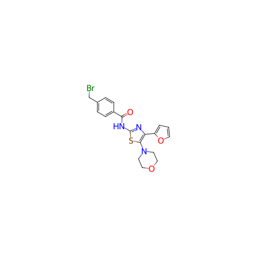 O=C(Nc1nc(-c2ccco2)c(N2CCOCC2)s1)c1ccc(CBr)cc1